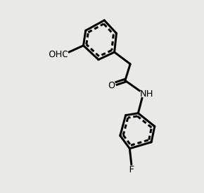 O=Cc1cccc(CC(=O)Nc2ccc(F)cc2)c1